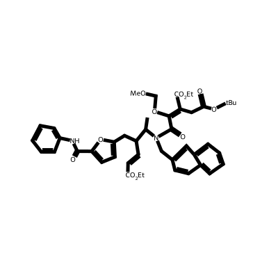 CCOC(=O)/C=C/C(Cc1ccc(C(=O)Nc2ccccc2)o1)C(C)N(Cc1ccc2ccccc2c1)C(=O)C(OCOC)=C(CC(=O)OC(C)(C)C)C(=O)OCC